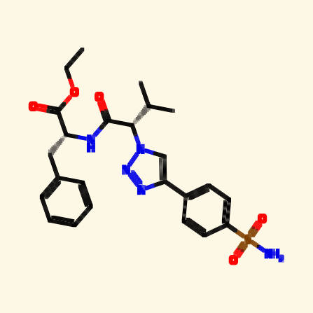 CCOC(=O)[C@@H](Cc1ccccc1)NC(=O)[C@H](C(C)C)n1cc(-c2ccc(S(N)(=O)=O)cc2)nn1